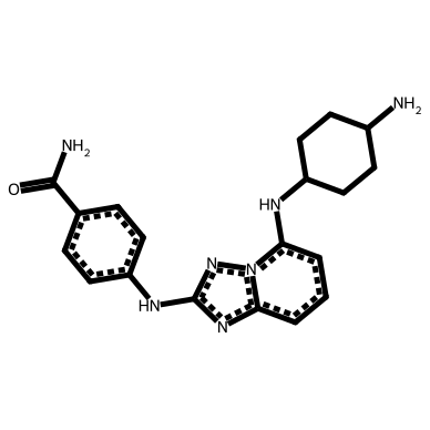 NC(=O)c1ccc(Nc2nc3cccc(NC4CCC(N)CC4)n3n2)cc1